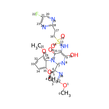 COc1cccc(-c2nc(O)c(NS(=O)(=O)CCc3ncc(F)cn3)c(=O)n2-c2c(OC)cccc2OC)n1